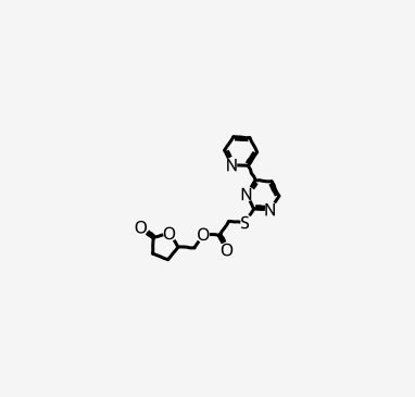 O=C(CSc1nccc(-c2ccccn2)n1)OCC1CCC(=O)O1